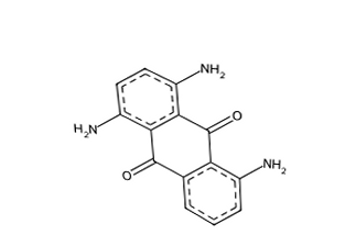 Nc1cccc2c1C(=O)c1c(N)ccc(N)c1C2=O